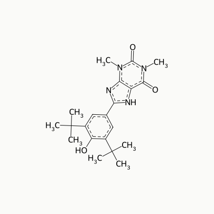 Cn1c(=O)c2[nH]c(-c3cc(C(C)(C)C)c(O)c(C(C)(C)C)c3)nc2n(C)c1=O